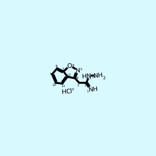 Cl.N=C(Cc1noc2ccccc12)NN